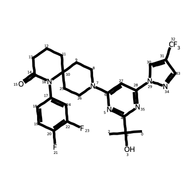 CC(C)(O)c1nc(N2CCC3(CCCC(=O)N3c3ccc(F)c(F)c3)CC2)cc(-n2cc(C(F)(F)F)cn2)n1